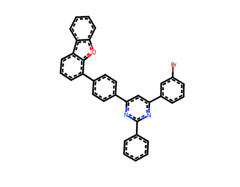 Brc1cccc(-c2cc(-c3ccc(-c4cccc5c4oc4ccccc45)cc3)nc(-c3ccccc3)n2)c1